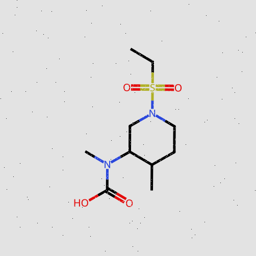 CCS(=O)(=O)N1CCC(C)C(N(C)C(=O)O)C1